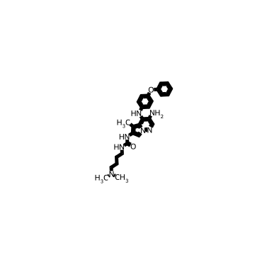 Cc1c(NC(=O)NCCCCN(C)C)cn2ncc(N)c(Nc3ccc(Oc4ccccc4)cc3)c12